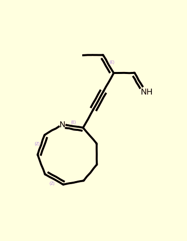 C/C=C(\C#C/C1=N/C=C\C=C/CCC1)C=N